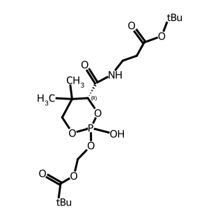 CC(C)(C)OC(=O)CCNC(=O)[C@@H]1O[P](O)(OCOC(=O)C(C)(C)C)OCC1(C)C